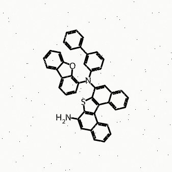 Nc1cc2ccccc2c2c1sc1c(N(c3cccc(-c4ccccc4)c3)c3cccc4c3oc3ccccc34)cc3ccccc3c12